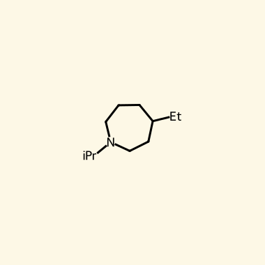 CCC1CCCN(C(C)C)CC1